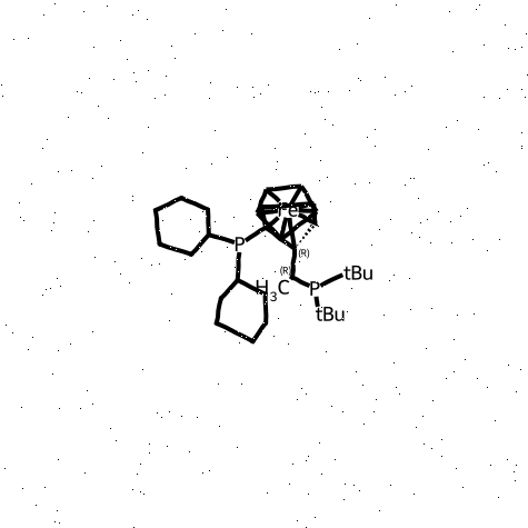 C[C@@H](P(C(C)(C)C)C(C)(C)C)[C@@]12[CH]3[CH]4[CH]5[C]1(P(C1CCCCC1)C1CCCCC1)[Fe]45321678[CH]2[CH]1[CH]6[CH]7[CH]28